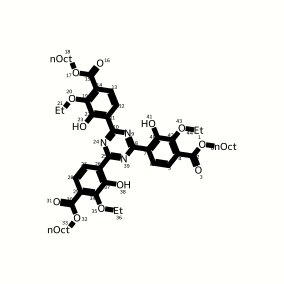 CCCCCCCCOC(=O)c1ccc(-c2nc(-c3ccc(C(=O)OCCCCCCCC)c(OCC)c3O)nc(-c3ccc(C(=O)OCCCCCCCC)c(OCC)c3O)n2)c(O)c1OCC